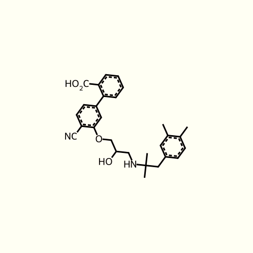 Cc1ccc(CC(C)(C)NCC(O)COc2cc(-c3ccccc3C(=O)O)ccc2C#N)cc1C